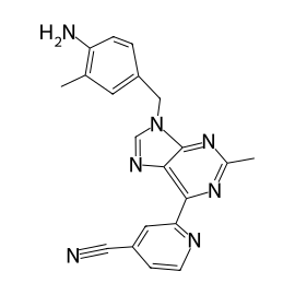 Cc1nc(-c2cc(C#N)ccn2)c2ncn(Cc3ccc(N)c(C)c3)c2n1